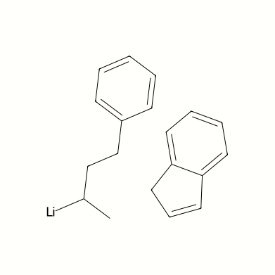 C1=Cc2ccccc2C1.[Li][CH](C)CCc1ccccc1